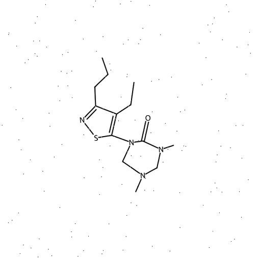 CCCc1nsc(N2CN(C)CN(C)C2=O)c1CC